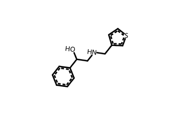 OC(CNCc1ccsc1)c1ccccc1